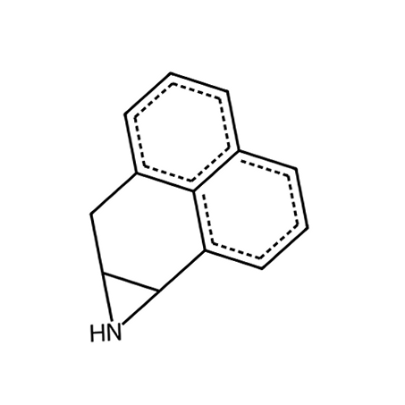 c1cc2c3c(cccc3c1)C1NC1C2